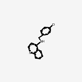 Clc1ccc(CNc2ccnc3ccccc23)cc1